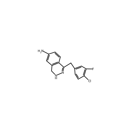 Nc1ccc2c(c1)CNN=C2Cc1ccc(Cl)c(F)c1